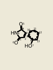 O=C1C=CC(=O)N1.Oc1ccccc1